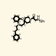 CCCNCC(=O)N1CCC2(CC1)CCN(CCCc1ccccc1)c1ccccc1O2